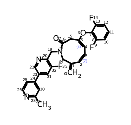 C=C1/C=C\C=C(\Oc2c(F)cccc2F)CC(=O)N(Cc2ncc(-c3ccnc(C)c3)cc2F)C1